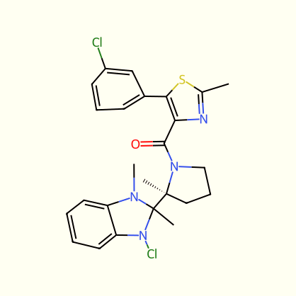 Cc1nc(C(=O)N2CCC[C@@]2(C)C2(C)N(C)c3ccccc3N2Cl)c(-c2cccc(Cl)c2)s1